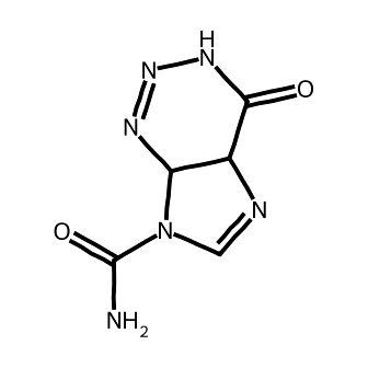 NC(=O)N1C=NC2C(=O)NN=NC21